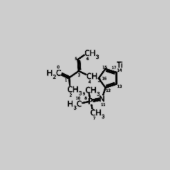 C=C(C)C(C)=CC.CP(C)(C)=NC1=CC=CC1.[Ti]